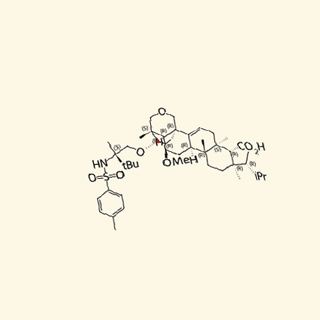 CO[C@@H]1C[C@@]23COC[C@](C)([C@@H]2CC[C@H]2C3=CC[C@@]3(C)[C@H](C(=O)O)[C@@](C)([C@H](C)C(C)C)CC[C@]23C)[C@H]1OC[C@@](C)(NS(=O)(=O)c1ccc(C)cc1)C(C)(C)C